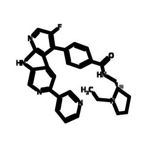 CCN1CCC[C@H]1CNC(=O)c1ccc(-c2c(F)cnc3[nH]c4cnc(-c5cccnc5)cc4c23)cc1